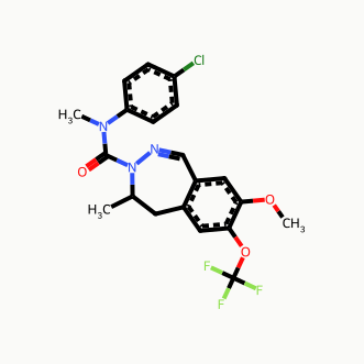 COc1cc2c(cc1OC(F)(F)F)CC(C)N(C(=O)N(C)c1ccc(Cl)cc1)N=C2